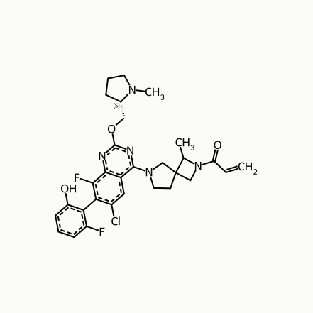 C=CC(=O)N1CC2(CCN(c3nc(OC[C@@H]4CCCN4C)nc4c(F)c(-c5c(O)cccc5F)c(Cl)cc34)C2)C1C